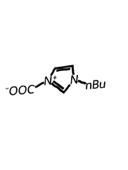 CCCCn1cc[n+](C(=O)[O-])c1